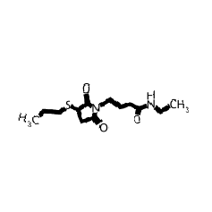 CCCSC1CC(=O)N(CCCC(=O)NCC)C1=O